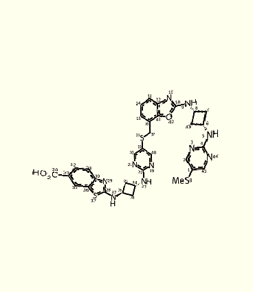 CSc1cnc(N[C@H]2C[C@@H](Nc3nc4cccc(CSc5cnc(N[C@H]6C[C@H](Nc7nc8ccc(C(=O)O)cc8s7)C6)nc5)c4o3)C2)nc1